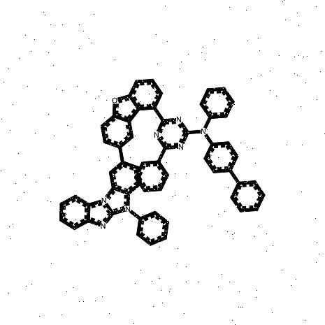 c1ccc(-c2ccc(N(c3ccccc3)c3nc(-c4ccccc4)nc(-c4cccc5oc6ccc(-c7ccc8c(c7)n7c9ccccc9nc7n8-c7ccccc7)cc6c45)n3)cc2)cc1